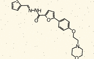 O=C(N/N=C/c1cccs1)c1ccc(-c2ccc(OCCN3CCOCC3)cc2)o1